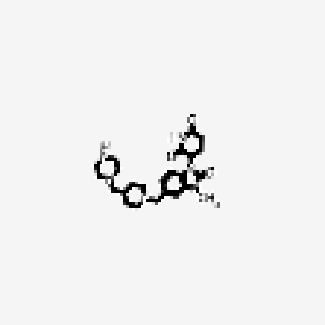 Cn1c(=O)n(C2CCC(=O)NC2=O)c2ccc(CN3CCC(CN4CCNCC4)CC3)cc21